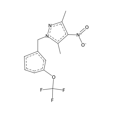 Cc1nn(Cc2cccc(OC(F)(F)F)c2)c(C)c1[N+](=O)[O-]